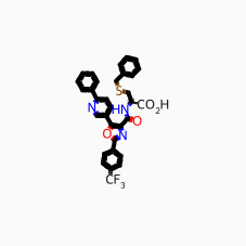 O=C(N[C@@H](CSCc1ccccc1)C(=O)O)c1nc(-c2ccc(C(F)(F)F)cc2)oc1-c1ccc(-c2ccccc2)nc1